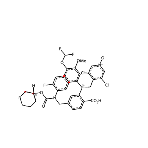 COc1cc([C@H](Cc2c(Cl)c[n+]([O-])cc2Cl)c2cc(CN(C(=O)O[C@H]3CN4CCC3CC4)c3ccccc3F)ccc2C(=O)O)ccc1OC(F)F